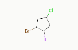 ClC1CC(Br)C(I)C1